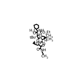 C=CCNC(=O)C(=O)C(CC1CC1)NC(=O)[C@@H]1[C@@H]2C(CN1C(=O)[C@@H](NC(=O)[C@@H](NC(=O)OCC)C1(C)CCCCC1)C(C)(C)C)C2(C)C